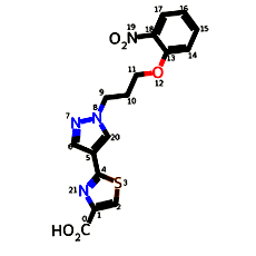 O=C(O)c1csc(-c2cnn(CCCOc3ccccc3[N+](=O)[O-])c2)n1